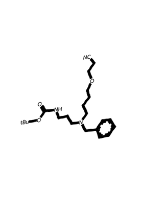 CC(C)(C)OC(=O)NCCCN(CCCCOCCC#N)Cc1ccccc1